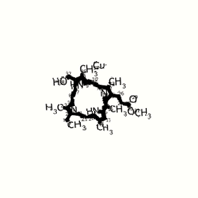 CCC1=C(C)c2cc3[nH]c(cc4nc(c(C)c5cc(C)c(cc1n2)[nH]5)C(CCC(=O)OC)C4C)c(C)c3CO.[Cu]